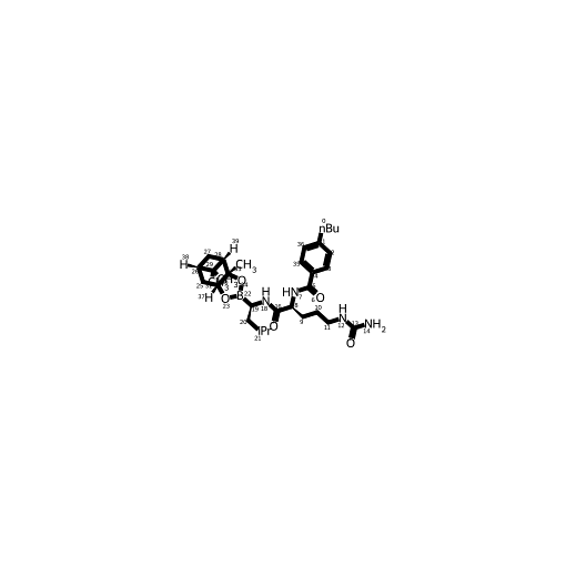 CCCCc1ccc(C(=O)N[C@@H](CCCNC(N)=O)C(=O)N[C@@H](CC(C)C)B2O[C@@H]3C[C@@H]4C[C@@H](C4(C)C)[C@]3(C)O2)cc1